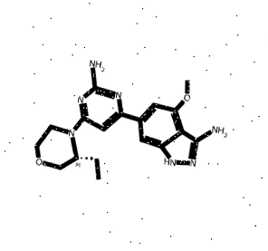 CC[C@@H]1COCCN1c1cc(-c2cc(OC)c3c(N)n[nH]c3c2)nc(N)n1